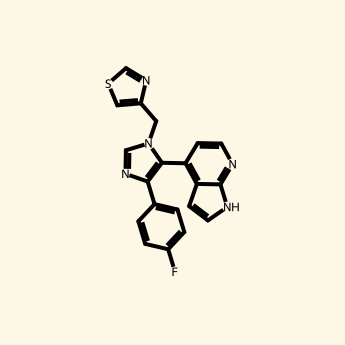 Fc1ccc(-c2ncn(Cc3cscn3)c2-c2ccnc3[nH]ccc23)cc1